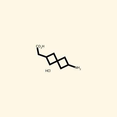 Cl.NC1CC2(C1)CC(CC(=O)O)C2